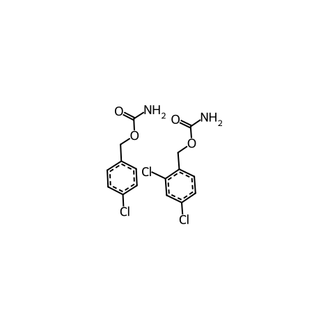 NC(=O)OCc1ccc(Cl)cc1.NC(=O)OCc1ccc(Cl)cc1Cl